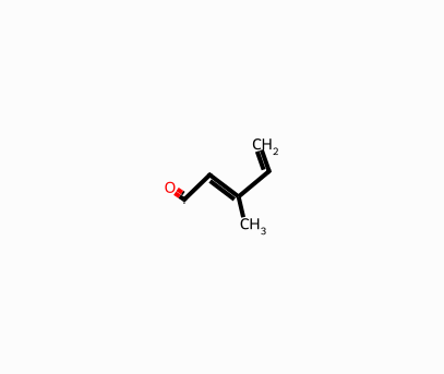 C=CC(C)=C[C]=O